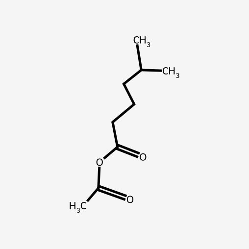 CC(=O)OC(=O)CCCC(C)C